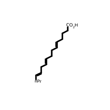 CCCC=CCC=CCCC=CCCCC(=O)O